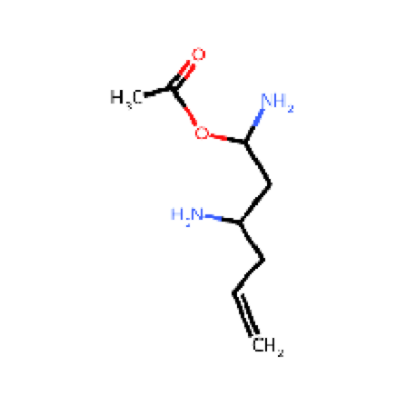 C=CCC(N)CC(N)OC(C)=O